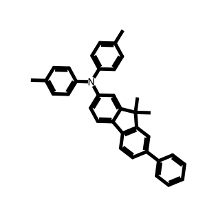 Cc1ccc(N(c2ccc(C)cc2)c2ccc3c(c2)C(C)(C)c2cc(-c4ccccc4)ccc2-3)cc1